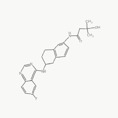 CC(C)(O)CC(=O)Nc1ccc2c(c1)CCC(Nc1ncnc3ccc(F)cc13)C2